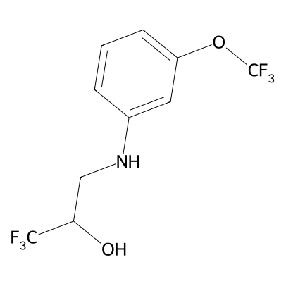 OC(CNc1cccc(OC(F)(F)F)c1)C(F)(F)F